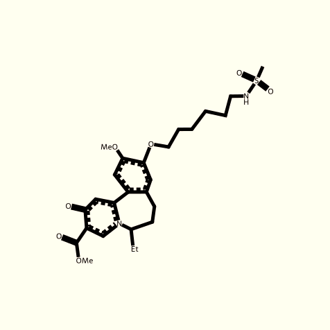 CCC1CCc2cc(OCCCCCCNS(C)(=O)=O)c(OC)cc2-c2cc(=O)c(C(=O)OC)cn21